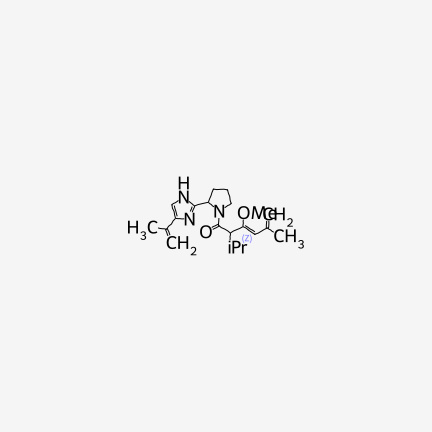 C=C(C)/C=C(\OC)C(C(=O)N1CCCC1c1nc(C(=C)C)c[nH]1)C(C)C